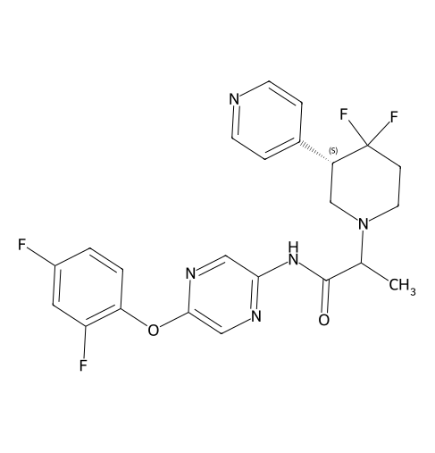 CC(C(=O)Nc1cnc(Oc2ccc(F)cc2F)cn1)N1CCC(F)(F)[C@@H](c2ccncc2)C1